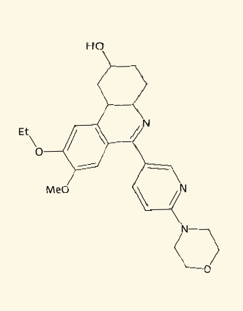 CCOc1cc2c(cc1OC)C(c1ccc(N3CCOCC3)nc1)=NC1CCC(O)CC21